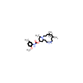 CCCC1CC(OC(=O)Nc2cc(C)ccc2OC)CC(C)N1CCCC(C)(C)CC(C)CCN